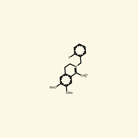 COc1cc2c(cc1OC)C(C)=[N+](Cc1ccccc1F)CC2.[Cl-]